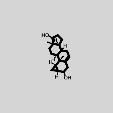 C[C@]12CC[C@H]3[C@@H](CC=C4C[C@@H](O)[C@H]5C[C@H]5[C@@]43C)[C@@H]1CC[C@@H]2O